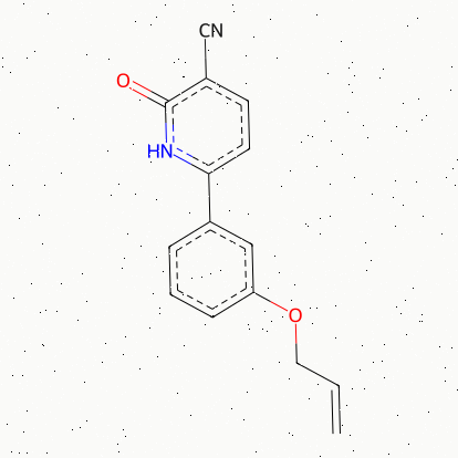 C=CCOc1cccc(-c2ccc(C#N)c(=O)[nH]2)c1